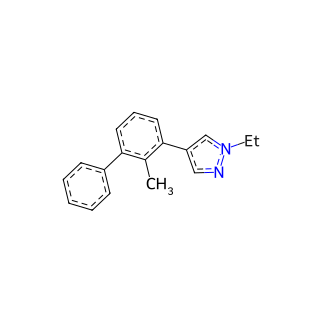 CCn1cc(-c2cccc(-c3ccccc3)c2C)cn1